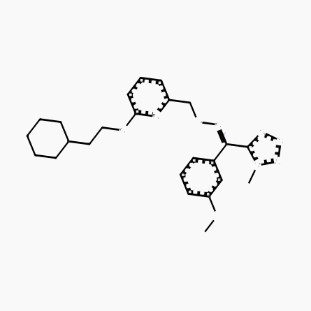 CSc1cccc(/C(=N\OCc2cccc(NCCC3CCCCC3)n2)c2nnnn2C)c1